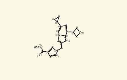 COC(=O)c1cnn(Cc2cn3cc(C4CC4)cc(C4COC4)c3n2)c1